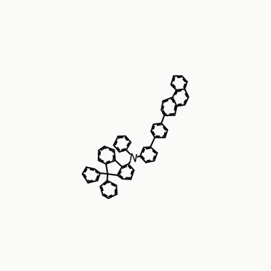 c1ccc(N(c2cccc(-c3ccc(-c4ccc5c(ccc6ccccc65)c4)cc3)c2)c2cccc3c2-c2ccccc2C3(c2ccccc2)c2ccccc2)cc1